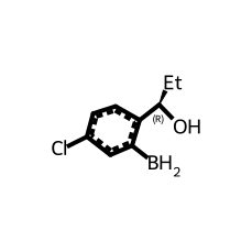 Bc1cc(Cl)ccc1[C@H](O)CC